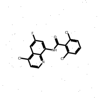 O=C(Nc1cc(F)cc2c(Cl)ccnc12)c1c(Cl)cccc1Cl